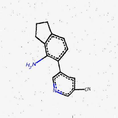 N#Cc1cncc(-c2ccc3c(c2N)CCC3)c1